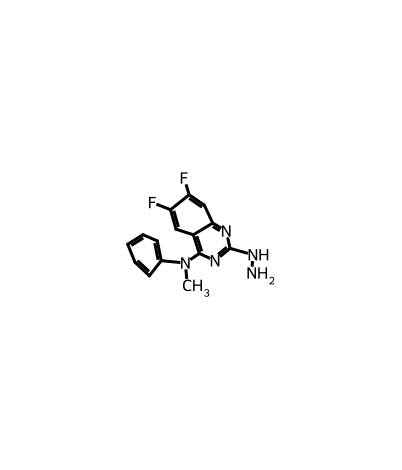 CN(c1ccccc1)c1nc(NN)nc2cc(F)c(F)cc12